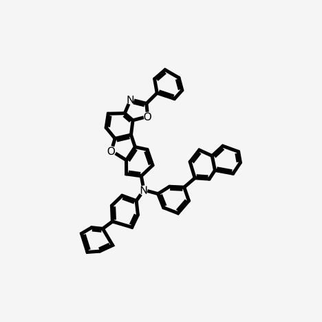 c1ccc(-c2ccc(N(c3cccc(-c4ccc5ccccc5c4)c3)c3ccc4c(c3)oc3ccc5nc(-c6ccccc6)oc5c34)cc2)cc1